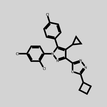 Clc1ccc(-c2c(C3CC3)c(-c3nnc(C4CCC4)o3)nn2-c2ccc(Cl)cc2Cl)cc1